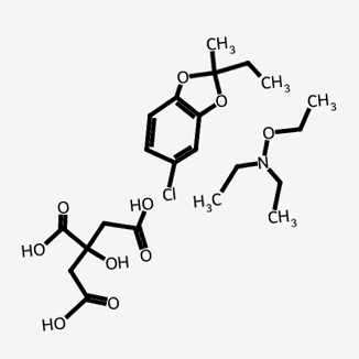 CCC1(C)Oc2ccc(Cl)cc2O1.CCON(CC)CC.O=C(O)CC(O)(CC(=O)O)C(=O)O